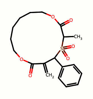 C=C1C(=O)OCCCCCCOC(=O)C(C)S(=O)(=O)C1c1ccccc1